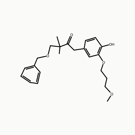 COCCCOc1cc(CC(=O)C(C)(C)COCc2ccccc2)ccc1O